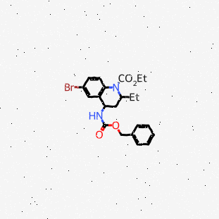 CCOC(=O)N1c2ccc(Br)cc2C(NC(=O)OCc2ccccc2)CC1CC